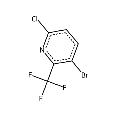 FC(F)(F)c1nc(Cl)ccc1Br